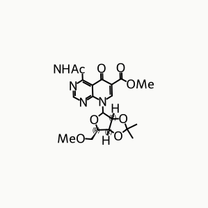 COC[C@H]1OC(n2cc(C(=O)OC)c(=O)c3c(NC(C)=O)ncnc32)[C@@H]2OC(C)(C)O[C@H]12